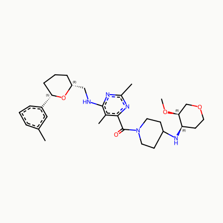 CO[C@H]1COCC[C@H]1NC1CCN(C(=O)c2nc(C)nc(NC[C@H]3CCC[C@@H](c4cccc(C)c4)O3)c2C)CC1